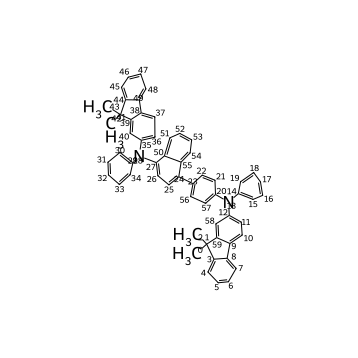 CC1(C)c2ccccc2-c2ccc(N(c3ccccc3)c3ccc(-c4ccc(N(c5ccccc5)c5ccc6c(c5)C(C)(C)c5ccccc5-6)c5ccccc45)cc3)cc21